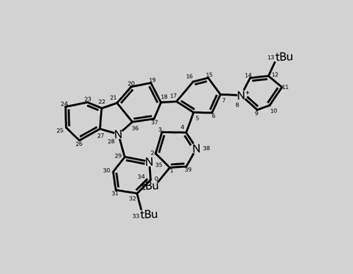 CC(C)(C)c1ccc(-c2cc(-[n+]3cccc(C(C)(C)C)c3)ccc2-c2ccc3c4ccccc4n(-c4ccc(C(C)(C)C)cn4)c3c2)nc1